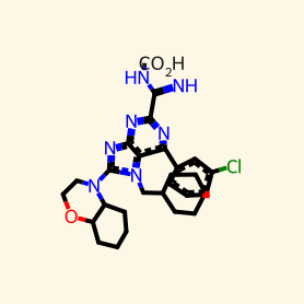 N=C(NC(=O)O)c1nc(-c2cccc(Cl)c2)c2c(n1)nc(N1CCOC3CCCCC31)n2CC1CCCCC1